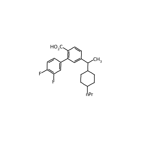 CCCC1CCC(C(C)c2ccc(C(=O)O)c(-c3ccc(F)c(F)c3)c2)CC1